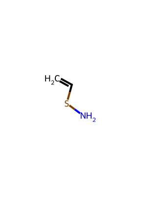 C=CSN